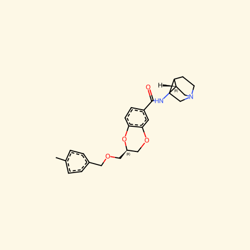 Cc1ccc(COC[C@@H]2COc3cc(C(=O)N[C@H]4CN5CCC4CC5)ccc3O2)cc1